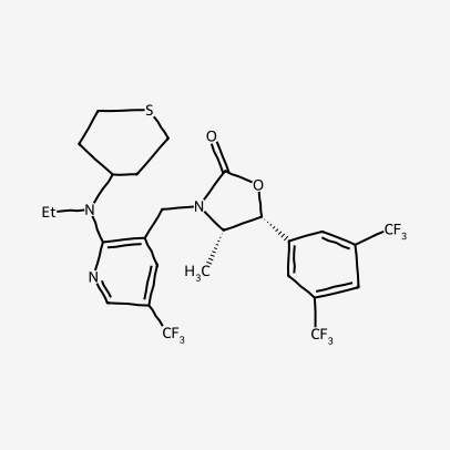 CCN(c1ncc(C(F)(F)F)cc1CN1C(=O)O[C@H](c2cc(C(F)(F)F)cc(C(F)(F)F)c2)[C@@H]1C)C1CCSCC1